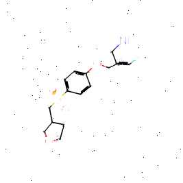 NC/C(=C\F)COc1ccc(S(=O)(=O)CC2CCOC2)cc1